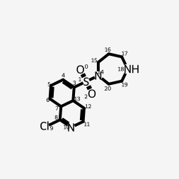 O=S(=O)(C1=CC=CC2C(Cl)=NC=CC12)N1CCCNCC1